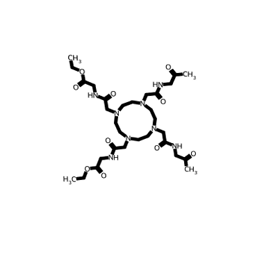 CCOC(=O)CNC(=O)CN1CCN(CC(=O)NCC(C)=O)CCN(CC(=O)NCC(C)=O)CCN(CC(=O)NCC(=O)OCC)CC1